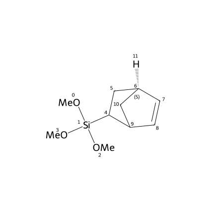 CO[Si](OC)(OC)C1C[C@H]2C=CC1C2